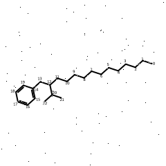 CCCCCCCCCCCCC(Cc1ccccc1)[C](C)C